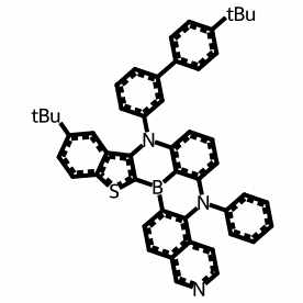 CC(C)(C)c1ccc(-c2cccc(N3c4cccc5c4B(c4ccc6cnccc6c4N5c4ccccc4)c4sc5ccc(C(C)(C)C)cc5c43)c2)cc1